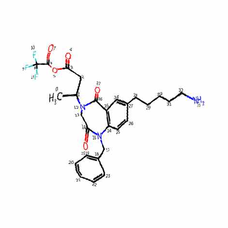 CC(CC(=O)OC(=O)C(F)(F)F)N1CC(=O)N(Cc2ccccc2)c2ccc(CCCCCN)cc2C1=O